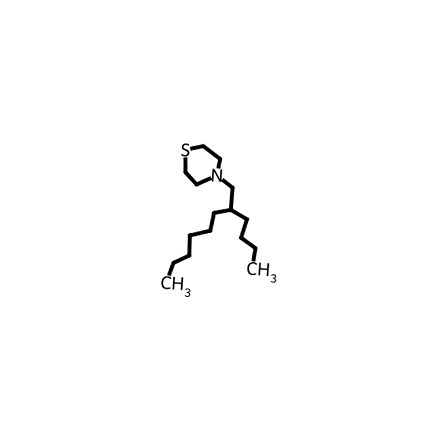 CCCCCCC(CCCC)CN1CCSCC1